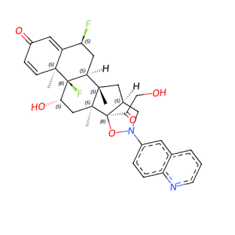 C[C@]12C[C@H](O)[C@@]3(F)[C@@H](C[C@H](F)C4=CC(=O)C=C[C@@]43C)[C@]1(C)C[C@H]1CN(c3ccc4ncccc4c3)O[C@]12C(=O)CO